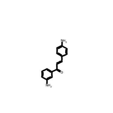 Nc1ccc(C=CC(=O)c2cccc(N)c2)cc1